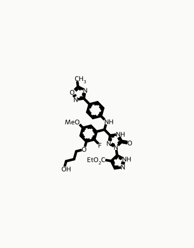 CCOC(=O)c1cn[nH]c1-n1nc(C(Nc2ccc(-c3noc(C)n3)cc2)c2cc(OC)cc(OCCCO)c2F)[nH]c1=O